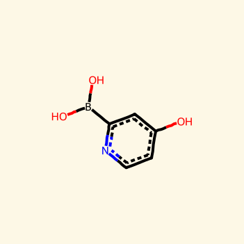 OB(O)c1cc(O)ccn1